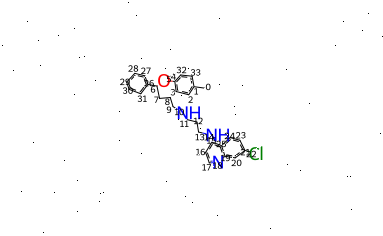 Cc1ccc(OC(CCCNCCCNc2ccnc3cc(Cl)ccc23)c2ccccc2)cc1